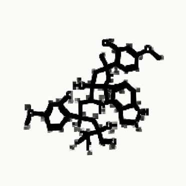 COc1ccc(C(C)(C)CC(O)(C(CC(C)(CC(O)(C=O)C(F)(F)F)c2ccc(OC)cc2Cl)Nc2cccc3[nH]ncc23)C(F)(F)F)c(Cl)c1